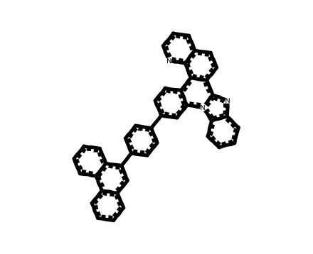 c1ccc2c(c1)cc(-c1ccc(-c3ccc4c5c(ccc6cccnc65)c5nc6ccccc6n5c4c3)cc1)c1ccccc12